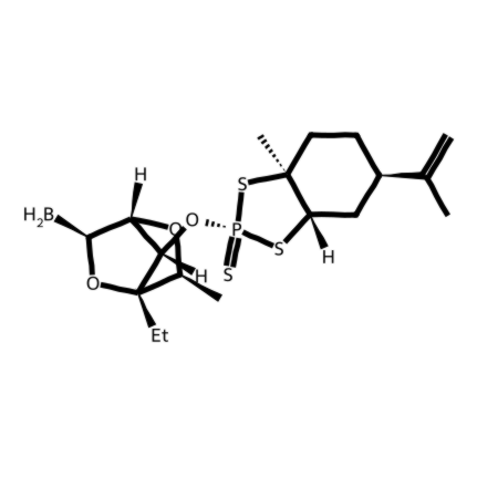 B[C@@H]1O[C@@]2(CC)[C@H](C)O[C@@H]1[C@@H]2O[P@@]1(=S)S[C@H]2C[C@H](C(=C)C)CC[C@]2(C)S1